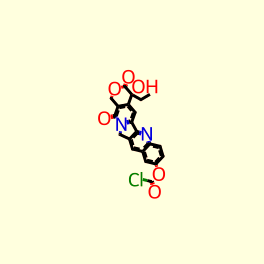 CCC1(O)C(=O)OCc2c1cc1n(c2=O)Cc2cc3cc(OC(=O)Cl)ccc3nc2-1